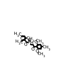 COc1cc(C)cc(OC)c1C(=O)CC[PH](=O)C(=O)c1c(C)cc(C)cc1C